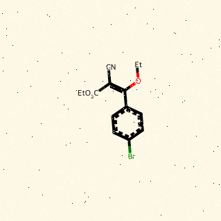 CCOC(=O)/C(C#N)=C(/OCC)c1ccc(Br)cc1